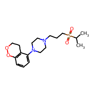 CC(C)S(=O)(=O)CCCN1CCN(c2cccc3c2CCOO3)CC1